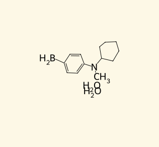 Bc1ccc(N(C)C2CCCCC2)cc1.O.O